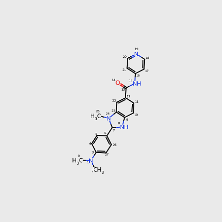 CN(C)c1ccc(C2Nc3ccc(C(=O)Nc4ccncc4)cc3N2C)cc1